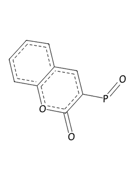 O=Pc1cc2ccccc2oc1=O